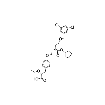 CCOC(Cc1ccc(OCCN(CCOCc2cc(Cl)cc(Cl)c2)C(=O)OC2CCCC2)cc1)C(=O)O